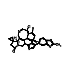 Cc1nc2cc(-c3cnc(C4CN5C(=O)CC6(CC6)[C@H]5C5=C4C4=CC(=O)C=C(F)C4=C(Cl)C=NC5)[nH]3)ccc2s1